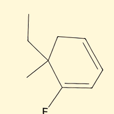 CCC1(C)CC=CC=C1F